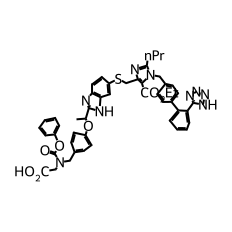 CCCc1nc(CSc2ccc3nc(C(C)Oc4ccc(CN(CC(=O)O)C(=O)Oc5ccccc5)cc4)[nH]c3c2)c(C(=O)OCC)n1Cc1ccc(-c2ccccc2-c2nnn[nH]2)cc1